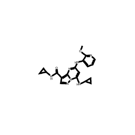 COc1ncccc1Nc1cc(NC2CC2)n2ncc(C(=O)NC3CC3)c2n1